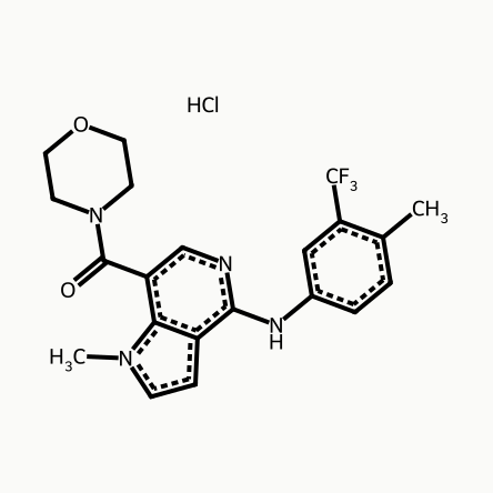 Cc1ccc(Nc2ncc(C(=O)N3CCOCC3)c3c2ccn3C)cc1C(F)(F)F.Cl